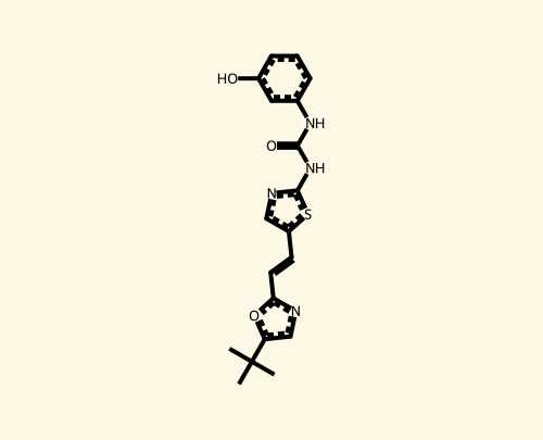 CC(C)(C)c1cnc(/C=C/c2cnc(NC(=O)Nc3cccc(O)c3)s2)o1